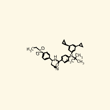 CCS(=O)(=O)c1ccc([C@H](CC#N)NC(=O)c2ccc(N(c3cc(C4CC4)cc(C4CC4)c3)C(C)(C)C)cc2)cc1